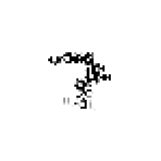 CCN(CC)C(=O)c1ccnc2[nH]c(-c3n[nH]c4ncc(-c5cncc(NC(=O)C6CCN(C)CC6)c5)cc34)nc12